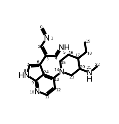 C=N/C=C(\C=N)c1c[nH]c2nccc(N3CCC(CC)C(NC)C3)c12